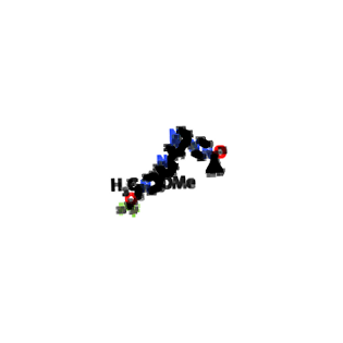 COC1(c2ccc(-c3cc4c(N5CCN(C(=O)C6CC6)CC5)ccnn4c3)nc2)CCN([C@H](C)COC(F)F)CC1